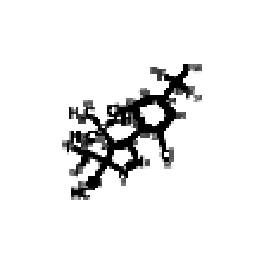 C#CC1(C(F)(F)F)N=NC(c2c(Cl)cc(C(F)(F)F)cc2Cl)=C1[Si](C)(C)C